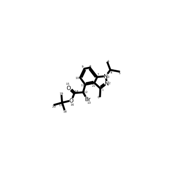 Cc1nn(C(C)C)c2cccc(C(Br)C(=O)OC(C)(C)C)c12